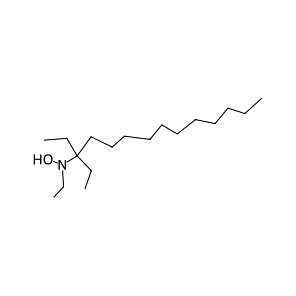 CCCCCCCCCCCC(CC)(CC)N(O)CC